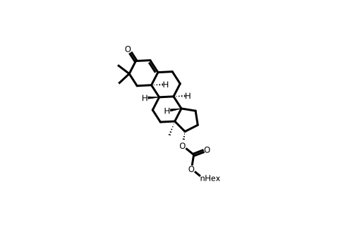 CCCCCCOC(=O)O[C@H]1CC[C@H]2[C@@H]3CCC4=CC(=O)C(C)(C)C[C@@H]4[C@H]3CC[C@]12C